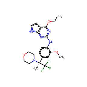 CCOc1nc(Nc2ccc([C@](C)(N3CCOCC3)C(F)(F)F)cc2OC)nc2[nH]ccc12